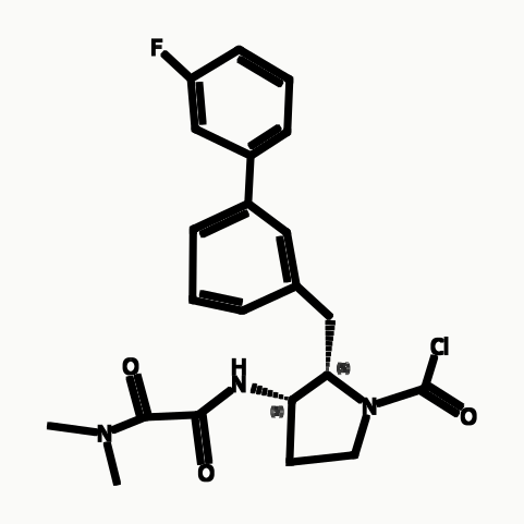 CN(C)C(=O)C(=O)N[C@H]1CCN(C(=O)Cl)[C@H]1Cc1cccc(-c2cccc(F)c2)c1